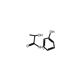 CC(O)C(N)=O.Oc1ccccc1